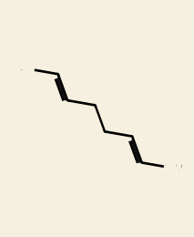 CCCCC/C=C/CCC=COC